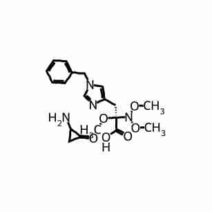 CON(OC)[C@](Cc1cn(Cc2ccccc2)cn1)(OC)C(=O)O.NC1CC1=O